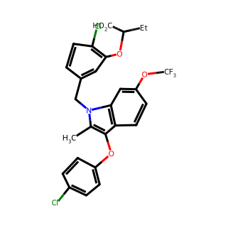 CCC(Oc1cc(Cn2c(C)c(Oc3ccc(Cl)cc3)c3ccc(OC(F)(F)F)cc32)ccc1Cl)C(=O)O